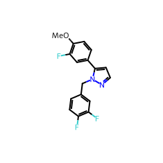 COc1ccc(-c2ccnn2Cc2ccc(F)c(F)c2)cc1F